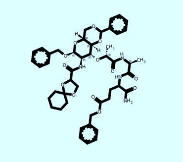 C[C@H](NC(=O)[C@@H](C)O[C@@H]1[C@@H](NC(=O)C2COC3(CCCCC3)O2)[C@@H](OCc2ccccc2)O[C@@H]2COC(c3ccccc3)O[C@@H]12)C(=O)NC(CCC(=O)OCc1ccccc1)C(N)=O